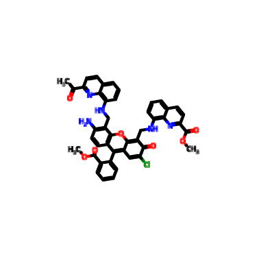 COC(=O)c1ccc2cccc(NCc3c4oc5c(CNc6cccc7ccc(C(C)=O)nc67)c(N)ccc5c(-c5ccccc5C(=O)OC)c-4cc(Cl)c3=O)c2n1